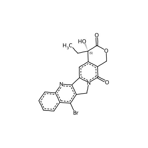 CC[C@@]1(O)C(=O)OCc2c1cc1n(c2=O)Cc2c-1nc1ccccc1c2Br